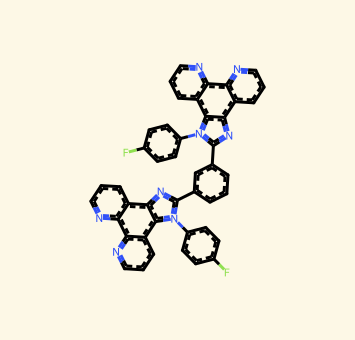 Fc1ccc(-n2c(-c3cccc(-c4nc5c6cccnc6c6ncccc6c5n4-c4ccc(F)cc4)c3)nc3c4cccnc4c4ncccc4c32)cc1